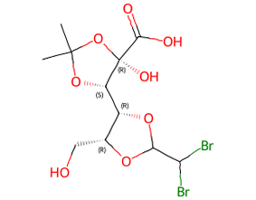 CC1(C)O[C@@H]([C@@H]2OC(C(Br)Br)O[C@@H]2CO)[C@](O)(C(=O)O)O1